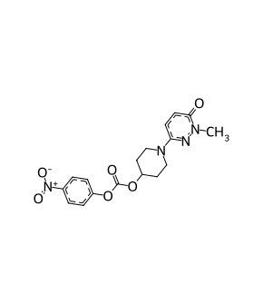 Cn1nc(N2CCC(OC(=O)Oc3ccc([N+](=O)[O-])cc3)CC2)ccc1=O